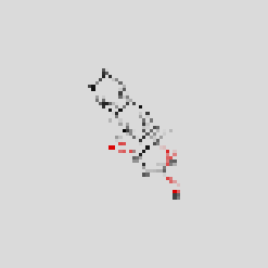 CC1(C2C3CCC2C2C4CCC(C4)C32)OC(=O)CC1O